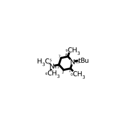 CC1CC(N(C)C)CC(C)N1C(C)(C)C